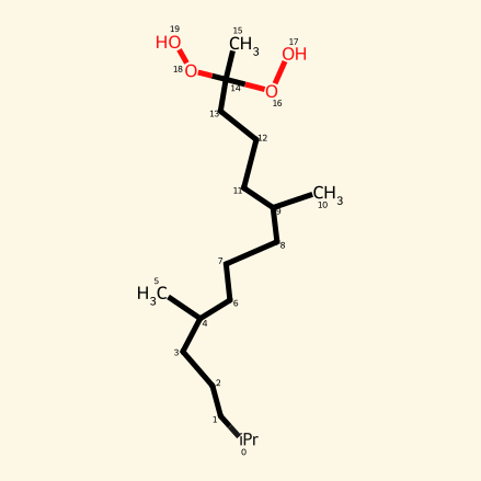 CC(C)CCCC(C)CCCC(C)CCCC(C)(OO)OO